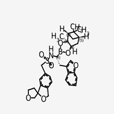 CC1(C)[C@@H]2C[C@H]3OB([C@H](Cc4coc5ccccc45)NS(=O)(=O)Cc4ccc5c(c4)C4(CCOC4)OC5)O[C@@]3(C)[C@H]1C2